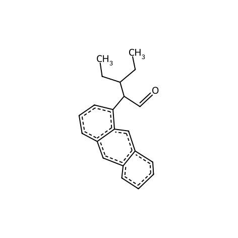 CCC(CC)C(C=O)c1cccc2cc3ccccc3cc12